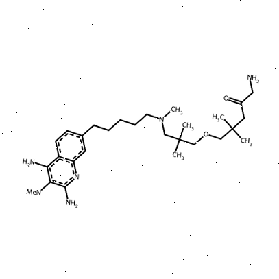 CNc1c(N)nc2cc(CCCCCN(C)CC(C)(C)COCC(C)(C)CC(=O)CN)ccc2c1N